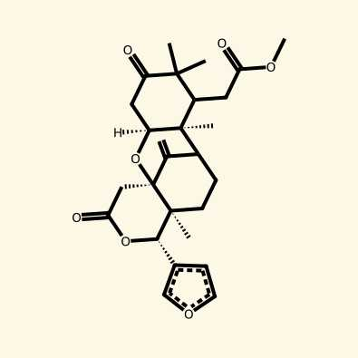 C=C1C2CC[C@@]3(C)[C@H](c4ccoc4)OC(=O)C[C@]13O[C@H]1CC(=O)C(C)(C)C(CC(=O)OC)[C@@]21C